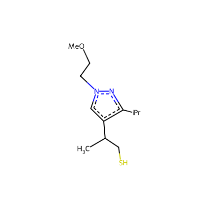 COCCn1cc(C(C)CS)c(C(C)C)n1